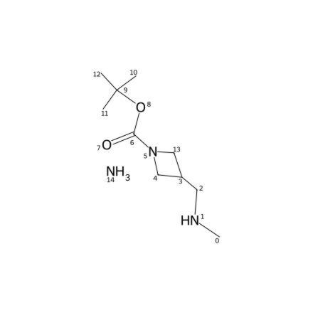 CNCC1CN(C(=O)OC(C)(C)C)C1.N